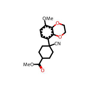 COC(=O)C1CCC(C#N)(c2ccc(OC)c3c2OCCO3)CC1